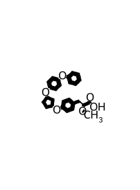 CO[C@@H](Cc1ccc(OC2CCC(Oc3ccc(Oc4ccccc4)cc3)C2)cc1)C(=O)O